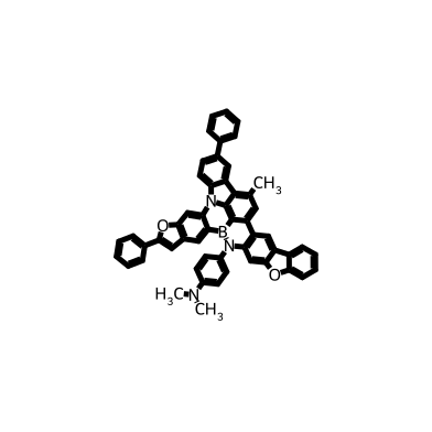 Cc1cc2c3c4c1c1cc(-c5ccccc5)ccc1n4-c1cc4oc(-c5ccccc5)cc4cc1B3N(c1ccc(N(C)C)cc1)c1cc3oc4ccccc4c3cc1-2